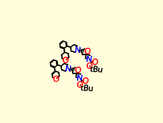 CC(C)(C)OC(=O)N1CC2(C[C@H](N3CCC(c4ccccc4C4=CCOCC4)CC3)CO2)C1.CC(C)(C)OC(=O)N1CC2(C[C@H](N3CCC(c4ccccc4C4CCOCC4)CC3)CO2)C1